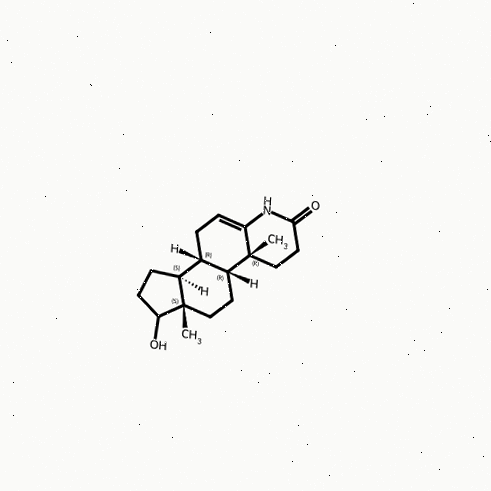 C[C@]12CCC(=O)NC1=CC[C@@H]1[C@H]2CC[C@]2(C)C(O)CC[C@@H]12